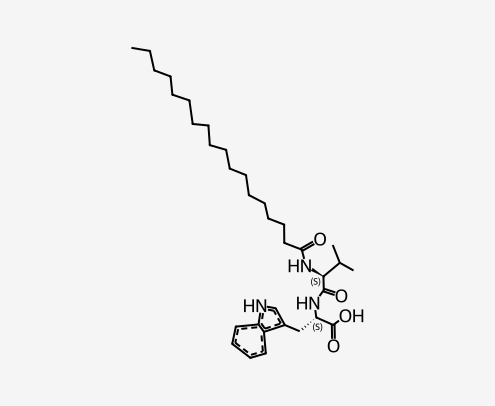 CCCCCCCCCCCCCCCCCC(=O)N[C@H](C(=O)N[C@@H](Cc1c[nH]c2ccccc12)C(=O)O)C(C)C